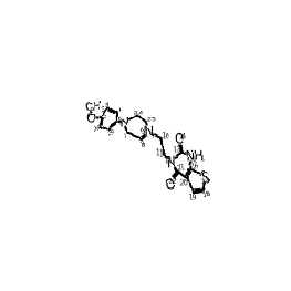 COc1ccc(N2CCN(CCn3c(=O)[nH]c4sccc4c3=O)CC2)cc1